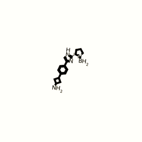 BN1CCC[C@H]1c1nc(-c2ccc(C3CC(N)C3)cc2)c[nH]1